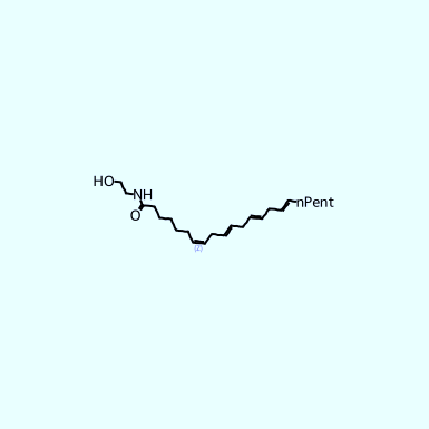 CCCCCC=CCC=CCC=CC/C=C\CCCCCC(=O)NCCO